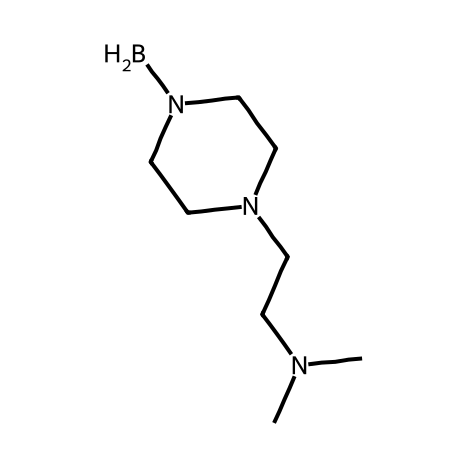 BN1CCN(CCN(C)C)CC1